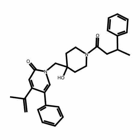 C=C(C)c1cc(=O)n(CC2(O)CCN(C(=O)CC(C)c3ccccc3)CC2)cc1-c1ccccc1